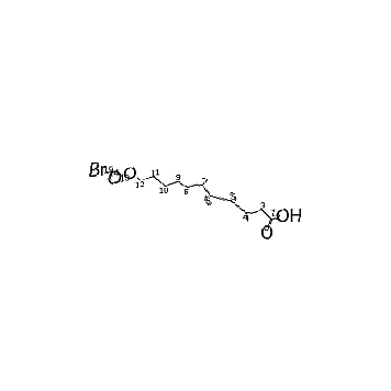 O=C(O)CCCCCCCCCCOOBr